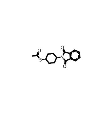 CC(=O)S[C@H]1CC[C@@H](N2C(=O)c3ccccc3C2=O)CC1